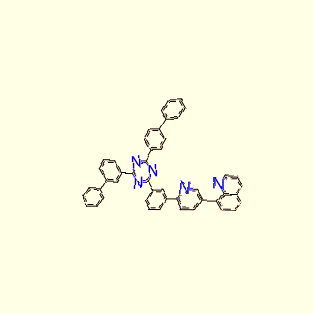 c1ccc(-c2ccc(-c3nc(-c4cccc(-c5ccccc5)c4)nc(-c4cccc(-c5ccc(-c6cccc7cccnc67)cn5)c4)n3)cc2)cc1